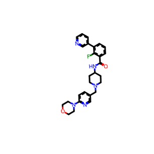 O=C(NC1CCN(Cc2ccc(N3CCOCC3)nc2)CC1)c1cccc(-c2cccnc2)c1F